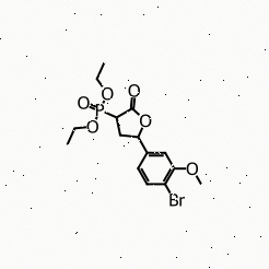 CCOP(=O)(OCC)C1CC(c2ccc(Br)c(OC)c2)OC1=O